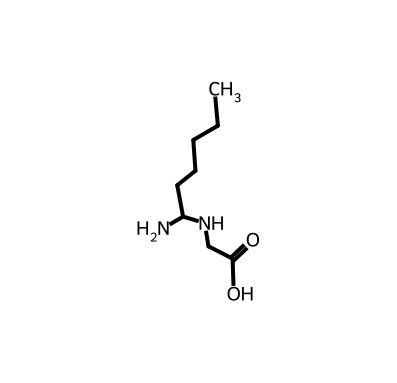 CCCCCC(N)NCC(=O)O